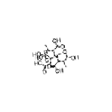 CC(C(=O)O)=C(C(=O)O)[Si](C)(C(C(=O)O)=C(C)C(=O)O)C(C(=O)O)=C(C)C(=O)O